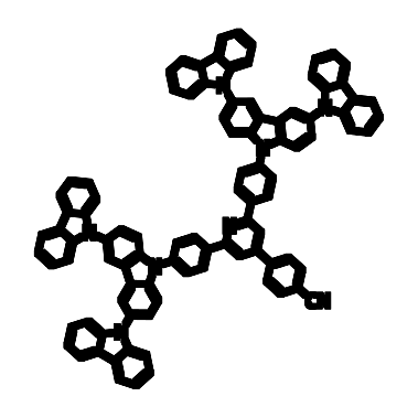 N#Cc1ccc(-c2cc(-c3ccc(-n4c5ccc(-n6c7ccccc7c7ccccc76)cc5c5cc(-n6c7ccccc7c7ccccc76)ccc54)cc3)nc(-c3ccc(-n4c5ccc(-n6c7ccccc7c7ccccc76)cc5c5cc(-n6c7ccccc7c7ccccc76)ccc54)cc3)c2)cc1